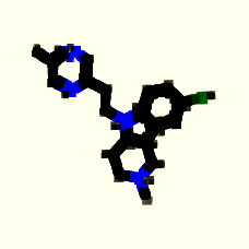 C=C(C)/C=N\C(=C/N)CCn1c2c(c3cc(Cl)ccc31)CN(C)CC2